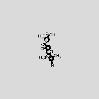 Cc1cc(C#N)cc2c1cc(Cc1c(Cl)ccc(C(=O)N3CCC(C(=O)O)C(C)C3)c1Cl)n2C